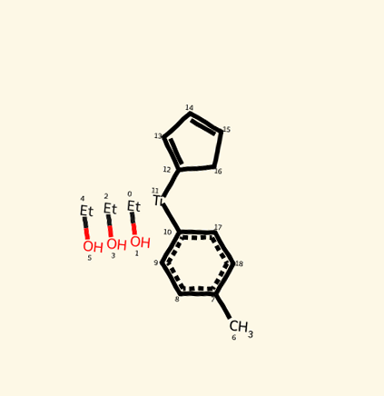 CCO.CCO.CCO.Cc1cc[c]([Ti][C]2=CC=CC2)cc1